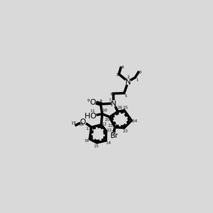 CCN(CC)CCN1C(=O)C(O)(c2ccccc2OC)c2c(Br)cccc21